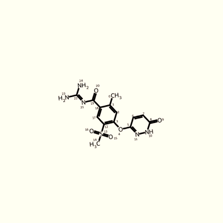 Cc1cc(Oc2ccc(=O)[nH]n2)c(S(C)(=O)=O)cc1C(=O)N=C(N)N